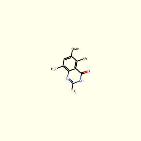 COc1cc(C)c2nc(C)[nH]c(=O)c2c1C(C)C